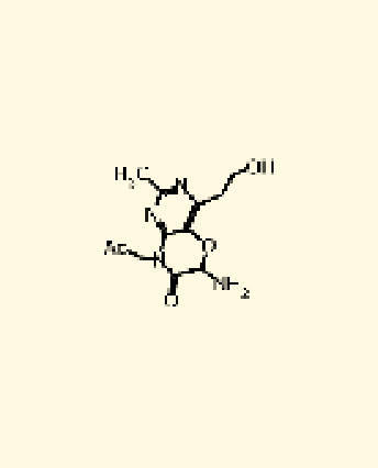 CC(=O)CN1C(=O)C(N)Oc2c(CCO)nc(C)nc21